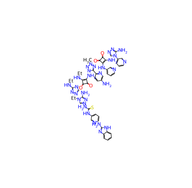 CCNC1=NN=C[N]1.CCNc1c(N)c(=O)c1=O.CCn1cnnc1N.Cn1nnc(-c2ccc(N)cn2)n1.NC(=S)Nc1cccnc1.Nc1c(Nc2cccnc2)c(=O)c1=O.Nc1nc2ccccc2[nH]1.Nc1nncn1-c1cccnc1